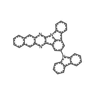 c1ccc2cc3nc4c(nc3cc2c1)c1cc(-n2c3ccccc3c3ccccc32)cc2c3ccccc3n4c21